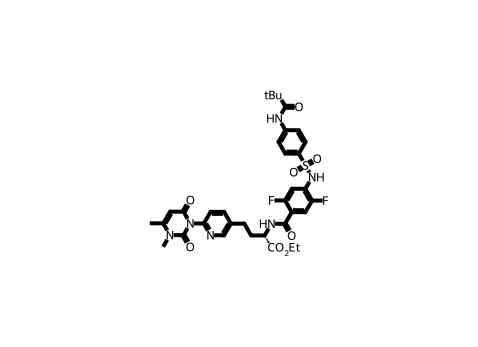 CCOC(=O)[C@H](CCc1ccc(-n2c(=O)cc(C)n(C)c2=O)nc1)NC(=O)c1cc(F)c(NS(=O)(=O)c2ccc(NC(=O)C(C)(C)C)cc2)cc1F